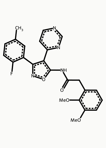 COc1cccc(CC(=O)Nc2onc(-c3cc(C)ccc3F)c2-c2ccncn2)c1OC